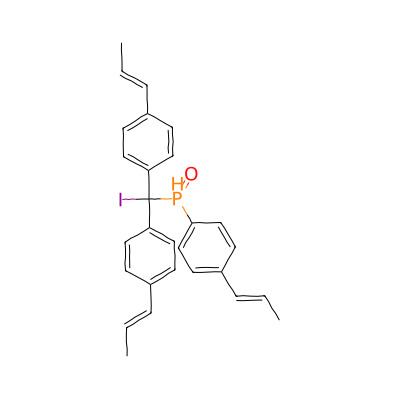 CC=Cc1ccc([PH](=O)C(I)(c2ccc(C=CC)cc2)c2ccc(C=CC)cc2)cc1